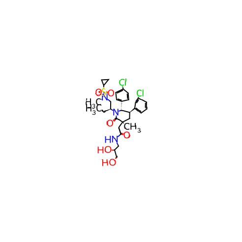 CC[C@@H](CN(C)S(=O)(=O)C1CC1)N1C(=O)[C@](C)(CC(=O)NC[C@H](O)CO)C[C@H](c2cccc(Cl)c2)[C@H]1c1ccc(Cl)cc1